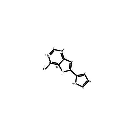 Clc1ncnc2cc(-c3ccco3)sc12